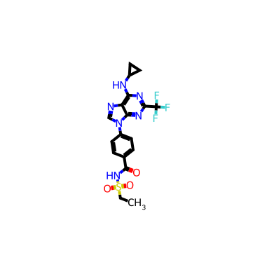 CCS(=O)(=O)NC(=O)c1ccc(-n2cnc3c(NC4CC4)nc(C(F)(F)F)nc32)cc1